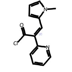 Cn1cccc1/C=C(\C(=O)Cl)c1ccccn1